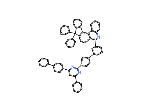 c1ccc(-c2ccc(-c3cc(-c4ccccc4)nc(-c4ccc(-c5cccc(-c6nc7ccccc7c7c8c(ccc67)C(c6ccccc6)(c6ccccc6)c6ccccc6-8)c5)cc4)n3)cc2)cc1